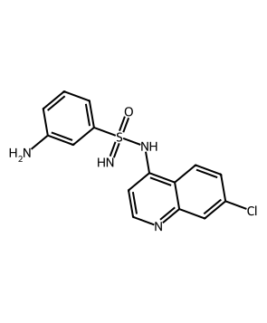 N=S(=O)(Nc1ccnc2cc(Cl)ccc12)c1cccc(N)c1